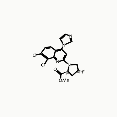 COC(=O)[C@@H]1C[C@@H](F)CN1c1cc(-n2ccnc2)c2ccc(Cl)c(Cl)c2n1